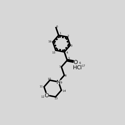 Cc1ccc(C(=O)CCN2CCOCC2)cc1.Cl